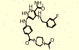 CC(=O)N1CCN(C(=O)c2ccc(NC3=CC(NCc4cccc(F)c4)=C(C(N)=O)NN3)cc2)CC1